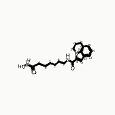 O=C(CCCCCCNC(=O)c1cc2cccc3c2n1CCC3)NO